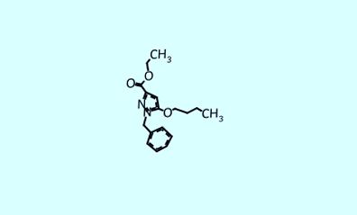 CCCCOc1cc(C(=O)OCC)nn1Cc1ccccc1